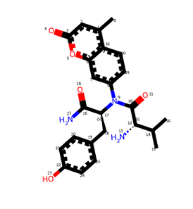 Cc1cc(=O)oc2cc(N(C(=O)[C@@H](N)C(C)C)[C@@H](Cc3ccc(O)cc3)C(N)=O)ccc12